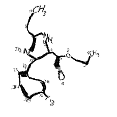 CCOC(=O)c1[nH]c(CC)nc1-c1cccc(F)c1